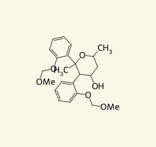 COCOc1ccccc1C1C(O)CC(C)OC1(C)c1ccccc1OCOC